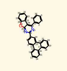 c1ccc(-c2nc(-c3ccc4c5ccccc5c5ccccc5c4c3)nc3oc4ccccc4c23)cc1